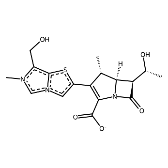 C[C@@H](O)[C@H]1C(=O)N2C(C(=O)[O-])=C(c3c[n+]4cn(C)c(CO)c4s3)[C@H](C)[C@@H]12